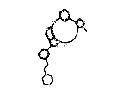 C[C@H]1CCOc2c(cnn2C)-c2nccc(n2)Nc2cc3c(cn2)c(-c2cccc(CCN4CCOCC4)c2)nn31